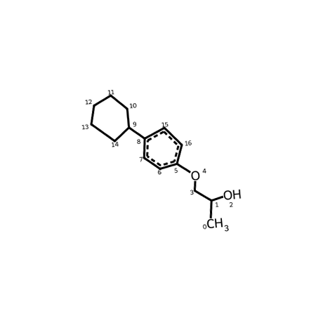 CC(O)COc1ccc(C2CCCCC2)cc1